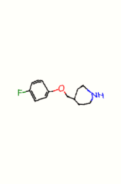 Fc1ccc(OCC2CCNCC2)cc1